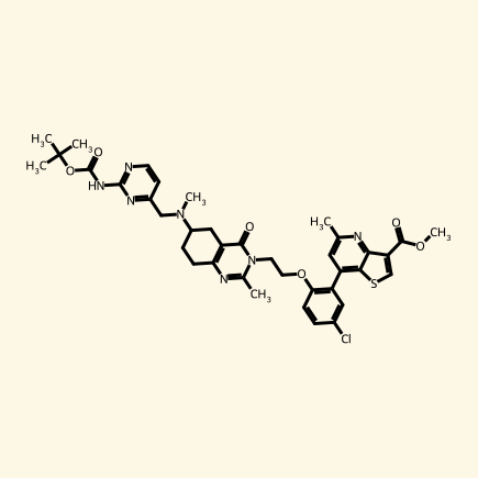 COC(=O)c1csc2c(-c3cc(Cl)ccc3OCCn3c(C)nc4c(c3=O)CC(N(C)Cc3ccnc(NC(=O)OC(C)(C)C)n3)CC4)cc(C)nc12